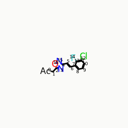 CC(=O)Cc1nc(C=Cc2cccc(Cl)c2F)no1